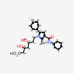 CC(C)c1c(C(=O)Nc2ccccc2)cc(-c2ccc(F)cc2)n1CCC(O)CC(O)CC(=O)O